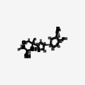 CN1OCC(C)(c2cc(-c3ccc(F)c(C#N)c3)cs2)NC1=N